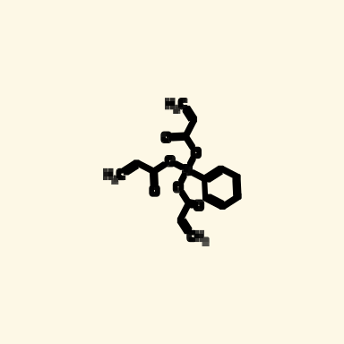 C=CC(=O)O[Si](OC(=O)C=C)(OC(=O)C=C)c1ccccc1